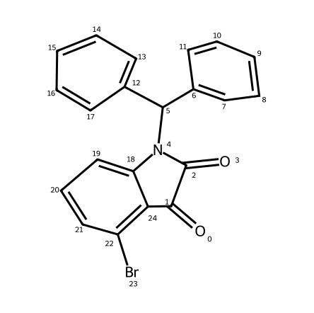 O=C1C(=O)N(C(c2ccccc2)c2ccccc2)c2cccc(Br)c21